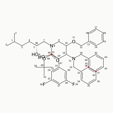 CC(C)CC[C@@H](O)CN(CC(OCc1ccccc1)C(C(CO)c1cc(F)cc(F)c1)N(Cc1ccccc1)Cc1ccccc1)C(=O)OC(C)(C)C